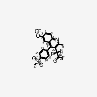 Cc1nc2ccc(OC(F)(F)F)cc2c(-c2ccc(S(C)(=O)=O)cc2)c1C(F)(F)C(=O)F